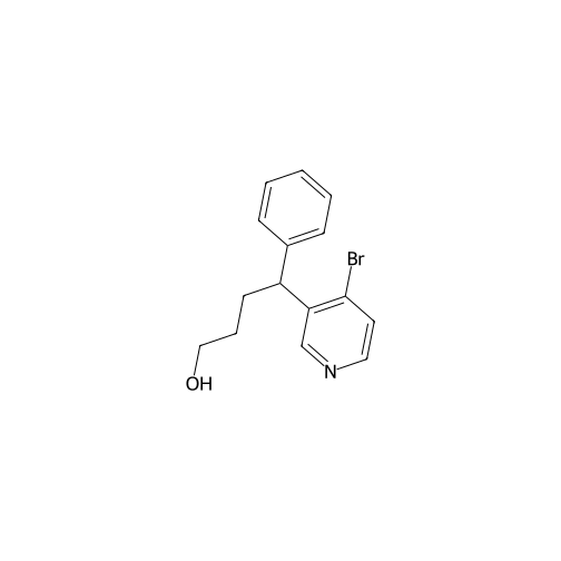 OCCCC(c1ccccc1)c1cnccc1Br